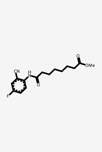 COC(=O)CCCCCCC(=O)Nc1ccc(F)cc1C#N